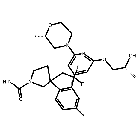 Cc1ccc(C2(CC(F)(F)F)CCN(C(N)=O)C2)c(-c2cc(OC[C@@H](C)O)nc(N3CCO[C@@H](C)C3)c2)c1